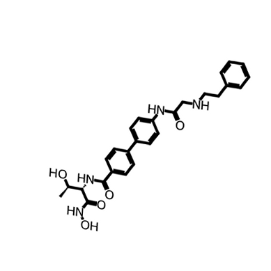 C[C@@H](O)[C@H](NC(=O)c1ccc(-c2ccc(NC(=O)CNCCc3ccccc3)cc2)cc1)C(=O)NO